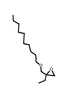 CCCCCCCCCCOCC1(CC)CO1